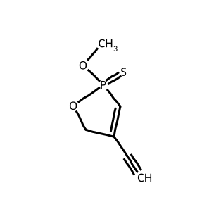 C#CC1=CP(=S)(OC)OC1